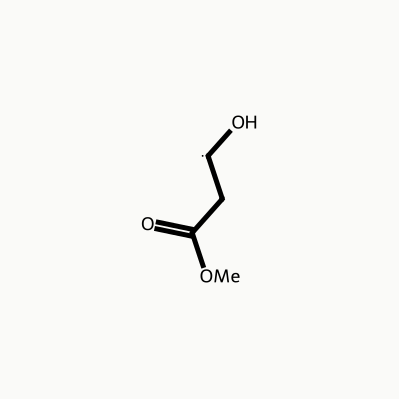 COC(=O)C[CH]O